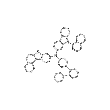 c1ccc(-c2ccccc2-c2ccc(N(c3ccc4c(c3)sc3ccc5ccccc5c34)c3ccc4c5ccccc5n(-c5cccc6ccccc56)c4c3)cc2)cc1